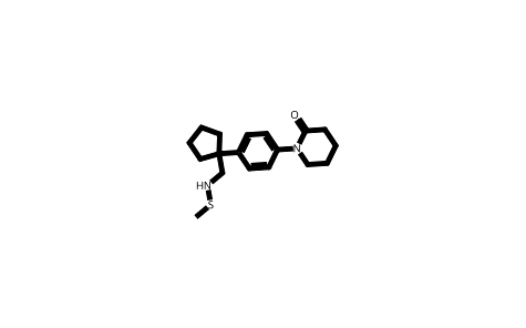 CSNCC1(c2ccc(N3CCCCC3=O)cc2)CCCC1